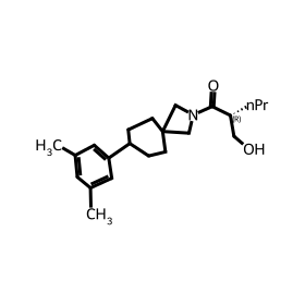 CCC[C@H](CO)C(=O)N1CC2(CCC(c3cc(C)cc(C)c3)CC2)C1